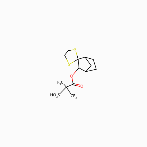 O=C(OC1C2CCC(C2)C12SCCS2)C(C(F)(F)F)(C(F)(F)F)S(=O)(=O)O